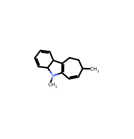 CC1C=CC2=C(CC1)C1C=CC=CC1N2C